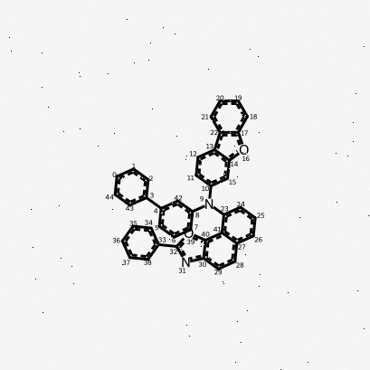 c1ccc(-c2cccc(N(c3ccc4c(c3)oc3ccccc34)c3cccc4ccc5nc(-c6ccccc6)oc5c34)c2)cc1